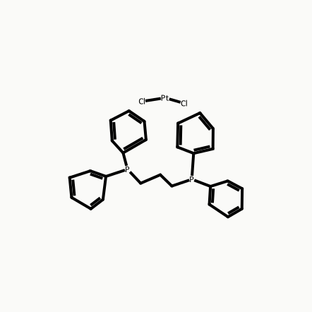 [Cl][Pt][Cl].c1ccc(P(CCCP(c2ccccc2)c2ccccc2)c2ccccc2)cc1